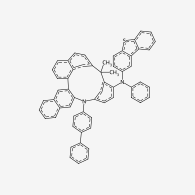 CC1(C)c2ccc3cccc(c3c2)-c2cc3ccccc3cc2N(c2ccc(-c3ccccc3)cc2)c2ccc(N(c3ccccc3)c3ccc4sc5ccccc5c4c3)c1c2